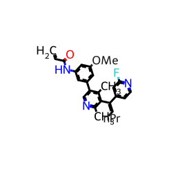 C=CC(=O)Nc1cc(OC)cc(-c2cnc(C)c(/C(=C\CCC)c3ccnc(F)c3)c2C)c1